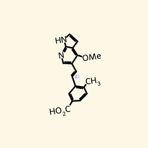 COc1c(/C=C/c2cc(C(=O)O)ccc2C)cnc2[nH]ccc12